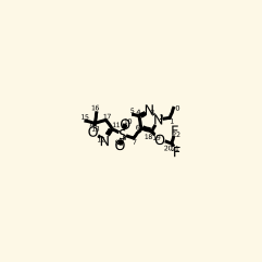 CCn1nc(C)c(CS(=O)(=O)C2=NOC(C)(C)C2)c1OC(F)F